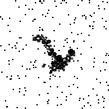 C[C@@H](N1CCN(c2ccc(-n3cnnn3)cc2)C1=O)[C@@](O)(CN1CN(COC(=O)OCCCC(=O)OCc2ccccc2)[C+]=N1)c1ccc(F)cc1F.[I-]